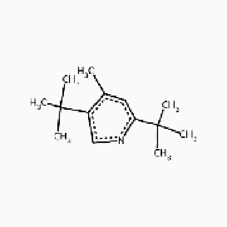 Cc1cc(C(C)(C)C)ncc1C(C)(C)C